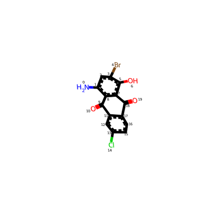 Nc1cc(Br)c(O)c2c1C(=O)c1cc(Cl)ccc1C2=O